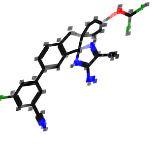 CC1=N[C@]2(N=C1N)c1cc(-c3cc(F)cc(C#N)c3)ccc1C[C@]21CC[C@@H](OC(F)F)CC1